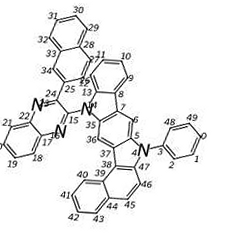 c1ccc(-n2c3cc4c5ccccc5n(-c5nc6ccccc6nc5-c5ccc6ccccc6c5)c4cc3c3c4ccccc4ccc32)cc1